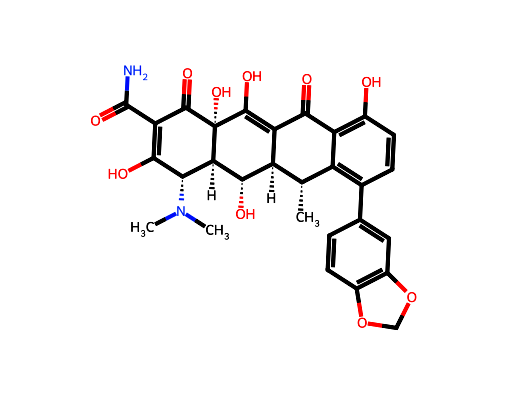 C[C@H]1c2c(-c3ccc4c(c3)OCO4)ccc(O)c2C(=O)C2=C(O)[C@]3(O)C(=O)C(C(N)=O)=C(O)[C@@H](N(C)C)[C@@H]3[C@@H](O)[C@@H]21